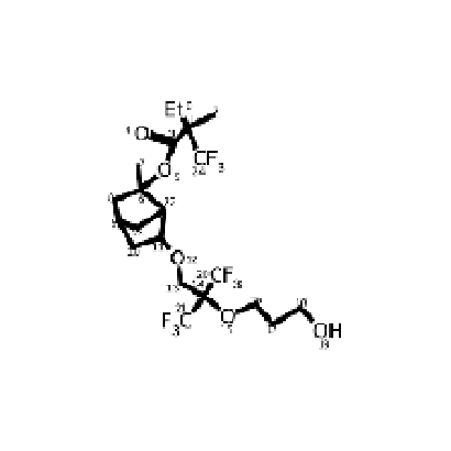 CCC(C)(C(=O)OC1(C)CC2CC(OCC(OCCCO)(C(F)(F)F)C(F)(F)F)C1C2)C(F)(F)F